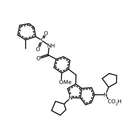 COc1cc(C(=O)NS(=O)(=O)c2ccccc2C)ccc1Cc1cn(C2CCCC2)c2ccc(N(C(=O)O)C3CCCC3)cc12